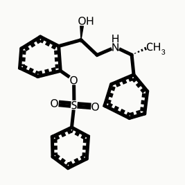 C[C@@H](NC[C@H](O)c1ccccc1OS(=O)(=O)c1ccccc1)c1ccccc1